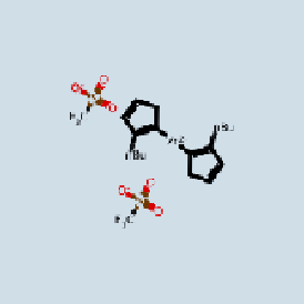 CCCCC1=[C]([Zr+2][C]2=C(CCCC)C=CC2)CC=C1.O=S(=O)([O-])C(F)(F)F.O=S(=O)([O-])C(F)(F)F